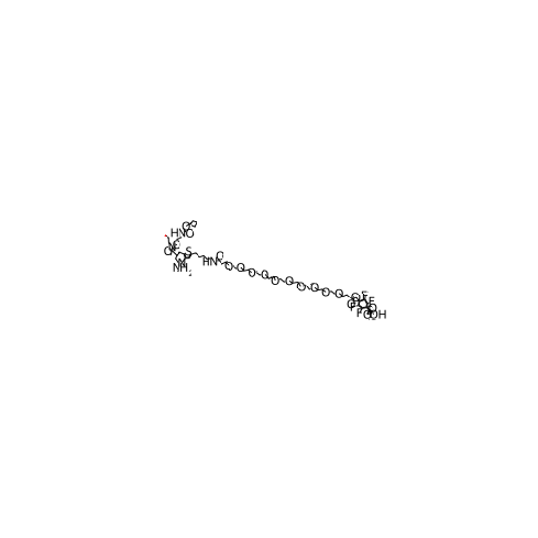 CCCN(OCCNC(=O)OC1CCC1)C(=O)C1=Cc2sc(CCCCCNC(=O)CCOCCOCCOCCOCCOCCOCCOCCOCCOCCOCCC(=O)Oc3c(F)c(F)c(S(=O)(=O)O)c(F)c3F)cc2N=C(N)C1